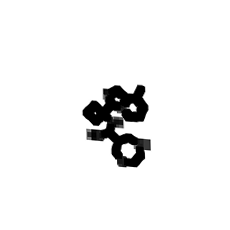 Cc1cccn2c(C3(NC(O)C4CNCCOC4)CCC3)ncc12